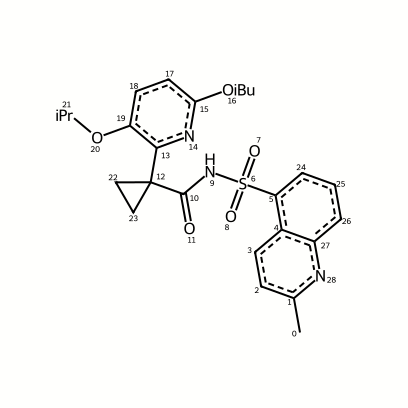 Cc1ccc2c(S(=O)(=O)NC(=O)C3(c4nc(OCC(C)C)ccc4OC(C)C)CC3)cccc2n1